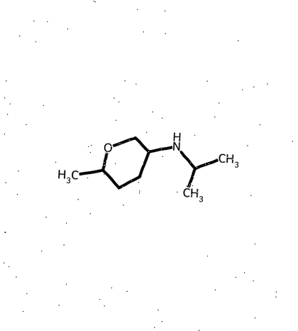 CC(C)NC1CCC(C)OC1